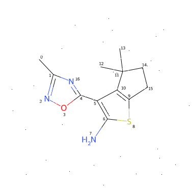 Cc1noc(-c2c(N)sc3c2C(C)(C)CC3)n1